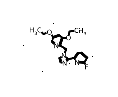 CCOc1cnc(Cn2ccnc2-c2cccc(F)n2)c(OCC)c1